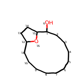 OC1CCCCCCCCCCC2CCC1O2